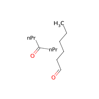 CCCC(=O)CCC.CCCCCC=O